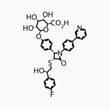 O=C(O)[C@H]1O[C@@H](Oc2ccc([C@@H]3[C@@H](SC[C@H](O)c4ccc(F)cc4)C(=O)N3c3ccc(-c4cccnc4)cc3)cc2)[C@H](O)[C@@H](O)[C@@H]1O